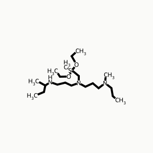 CCCN(C)CCCN(CCCNC(C)CC)C[Si](C)(OCC)OCC